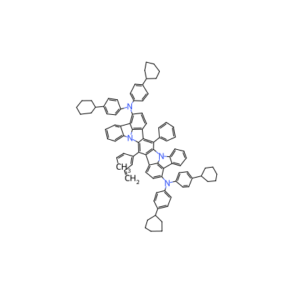 C=C/C=C(\C=C/C)c1c2c3ccc(N(c4ccc(C5CCCCC5)cc4)c4ccc(C5CCCCC5)cc4)c4c5ccccc5n(c2c(-c2ccccc2)c2c5ccc(N(c6ccc(C7CCCCC7)cc6)c6ccc(C7CCCCC7)cc6)c6c7ccccc7n(c12)c56)c34